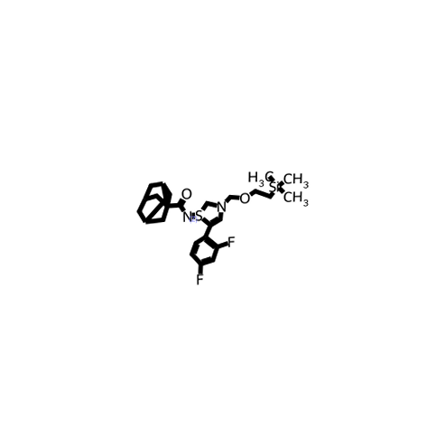 C[Si](C)(C)CCOCN1C=C(c2ccc(F)cc2F)/S(=N/C(=O)C23CC4CC(CC(C4)C2)C3)C1